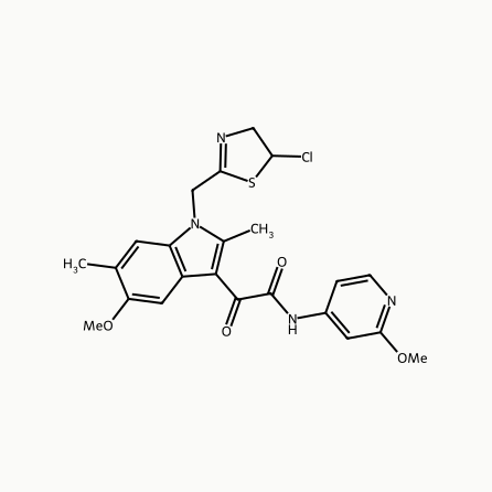 COc1cc(NC(=O)C(=O)c2c(C)n(CC3=NCC(Cl)S3)c3cc(C)c(OC)cc23)ccn1